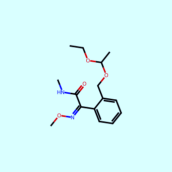 CCOC(C)OCc1ccccc1C(=NOC)C(=O)NC